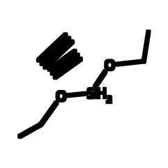 C#C.C#C.CCO[SiH2]OCC